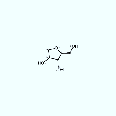 OC[C@@H]1OCC(O)[C@H]1O